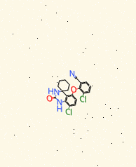 N#Cc1cccc(Cl)c1Oc1ccc(Cl)c2c1C1(CCCCC1)NC(=O)N2